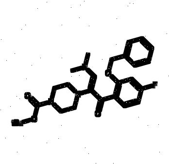 CN(C)C=C(C(=O)c1ccc(F)cc1OCc1ccccc1)N1CCN(C(=O)OC(C)(C)C)CC1